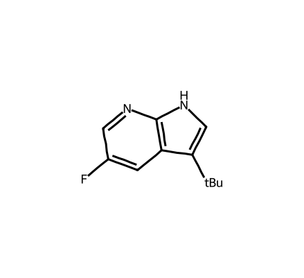 CC(C)(C)c1c[nH]c2ncc(F)cc12